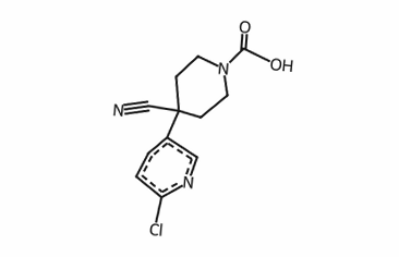 N#CC1(c2ccc(Cl)nc2)CCN(C(=O)O)CC1